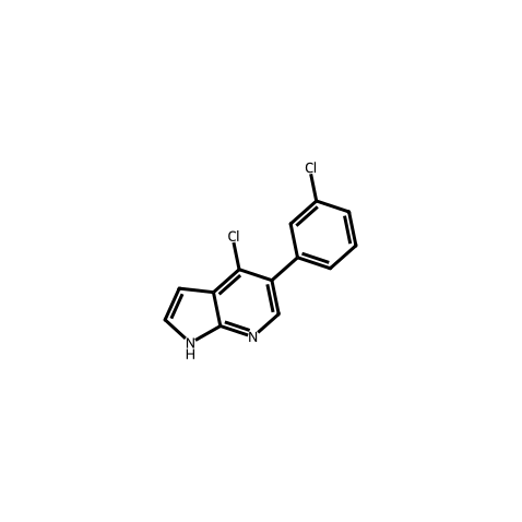 Clc1cccc(-c2cnc3[nH]ccc3c2Cl)c1